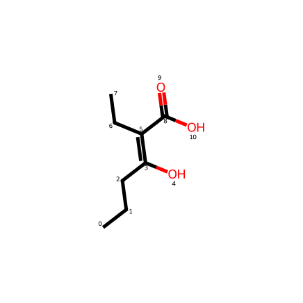 CCC/C(O)=C(\CC)C(=O)O